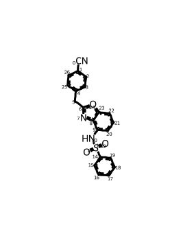 N#Cc1ccc(Cc2nc3c(NS(=O)(=O)c4ccccc4)cccc3o2)cc1